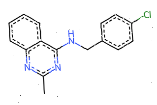 Cc1nc(NCc2ccc(Cl)cc2)c2ccccc2n1